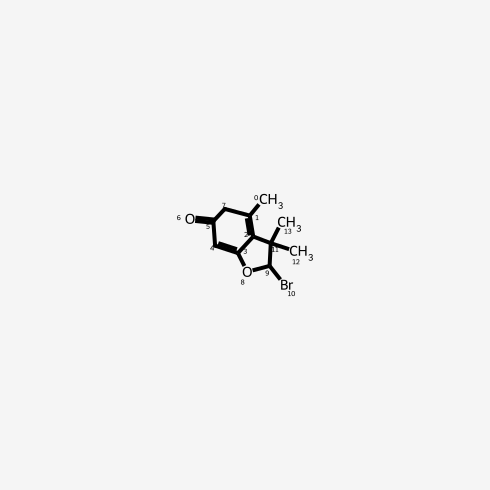 CC1=C2C(=CC(=O)C1)OC(Br)C2(C)C